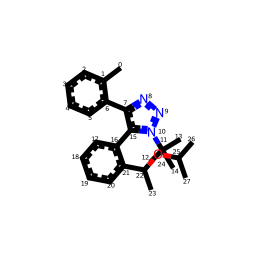 Cc1ccccc1-c1nnn(C(C)(C)C)c1-c1ccccc1C(C)OC(C)C